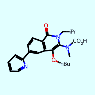 CCCCOc1c(N(C)C(=O)O)n(CC(C)C)c(=O)c2ccc(-c3ccccn3)cc12